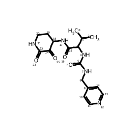 CC(C)C(NC(=O)NCc1ccncc1)C(=O)NC1CCNC(=O)C1=O